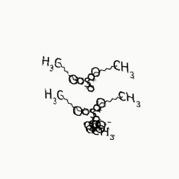 CC(S(=O)(=O)[O-])S(=O)(=O)[O-].CCCCCCCCOc1ccc([S+](c2ccccc2)c2ccc(OCCCCCCCC)cc2)cc1.CCCCCCCCOc1ccc([S+](c2ccccc2)c2ccc(OCCCCCCCC)cc2)cc1